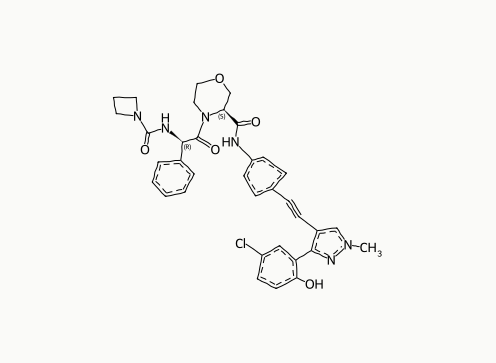 Cn1cc(C#Cc2ccc(NC(=O)[C@@H]3COCCN3C(=O)[C@H](NC(=O)N3CCC3)c3ccccc3)cc2)c(-c2cc(Cl)ccc2O)n1